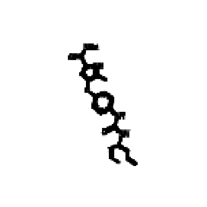 C=C/C=C(\C=C/C)NC(=O)Nc1ccc(Oc2cc(C(=O)NC)[nH]c2C)cc1